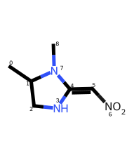 CC1CNC(=C[N+](=O)[O-])N1C